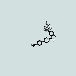 CCC(C)S(=O)(=O)Nc1ccc(C)c(C(=O)N2CCC(c3ccc(C#N)cc3)CC2)c1